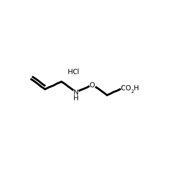 C=CCNOCC(=O)O.Cl